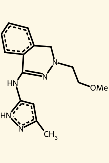 COCCN1Cc2ccccc2C(Nc2cc(C)n[nH]2)=N1